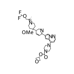 COC1(C2C=CC(c3cc4c(N5CCN(C(=O)OC6COC6)CC5)ccnn4c3)=NC2)CCN([C@@H](C)COC(F)F)CC1